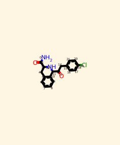 NC(=O)C1Cc2c[c]ccc2C(C(=O)Cc2ccc(Cl)cc2)N1